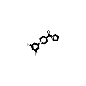 O=C(C1CCN(c2cc(F)cc(F)c2)CC1)N1CCCC1